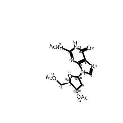 CC(=O)Nc1nc2c(ncn2[C@H]2C[C@H](OC(C)=O)[C@@H](COC(C)=O)O2)c(=O)[nH]1